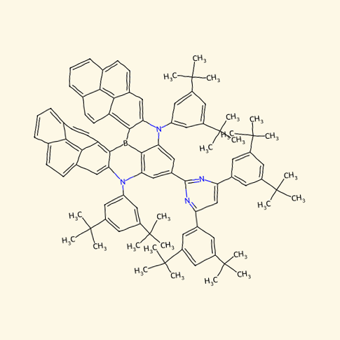 CC(C)(C)c1cc(-c2cc(-c3cc(C(C)(C)C)cc(C(C)(C)C)c3)nc(-c3cc4c5c(c3)N(c3cc(C(C)(C)C)cc(C(C)(C)C)c3)c3cc6ccc7cccc8ccc(c3B5c3c(cc5ccc9cccc%10ccc3c5c9%10)N4c3cc(C(C)(C)C)cc(C(C)(C)C)c3)c6c78)n2)cc(C(C)(C)C)c1